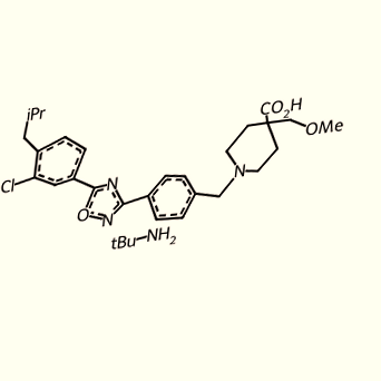 CC(C)(C)N.COCC1(C(=O)O)CCN(Cc2ccc(-c3noc(-c4ccc(CC(C)C)c(Cl)c4)n3)cc2)CC1